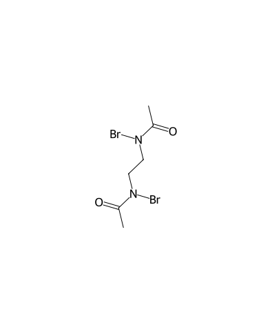 CC(=O)N(Br)CCN(Br)C(C)=O